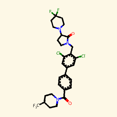 O=C(c1ccc(-c2cc(Cl)c(CN3CCC(N4CCC(F)(F)CC4)C3=O)c(Cl)c2)cc1)N1CCC(C(F)(F)F)CC1